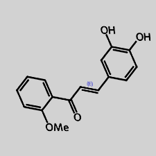 COc1ccccc1C(=O)/C=C/c1ccc(O)c(O)c1